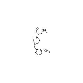 Cc1cccc(CN2CCN(C(C=O)CN)CC2)c1